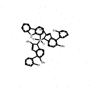 CCCCC1=Cc2c(ccc(C(C)(C)C)c2-c2ccccc2CC)[CH]1[Zr]([Cl])([Cl])([c]1cccc2c1[SiH2]c1ccccc1-2)[CH]1C(CCCC)=Cc2c1ccc(C(C)(C)C)c2-c1ccccc1CC